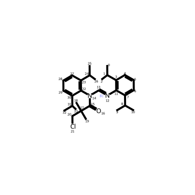 CC(C)c1cccc(C(C)C)c1/N=C/N(C(=O)C(C)(C)CCl)c1c(C(C)C)cccc1C(C)C